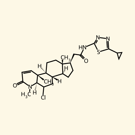 CN1C(=O)C=C[C@]2(C)[C@H]3CC[C@]4(C)[C@@H](CC(=O)Nc5nnc(C6CC6)s5)CC[C@H]4[C@@H]3CC(Cl)[C@@H]12